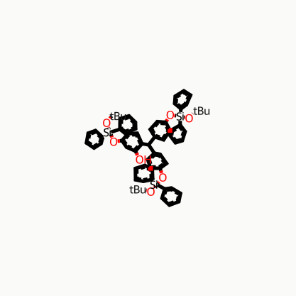 CC(C)(C)O[Si](Oc1ccc(C(c2ccc(O[Si](OC(C)(C)C)(c3ccccc3)c3ccccc3)cc2)c2ccc(O[Si](OC(C)(C)C)(c3ccccc3)c3ccccc3)cc2O)cc1)(c1ccccc1)c1ccccc1